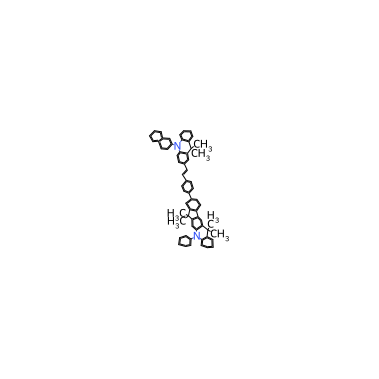 CC1(C)c2cc(-c3ccc(/C=C/c4ccc5c(c4)C(C)(C)c4ccccc4N5c4ccc5ccccc5c4)cc3)ccc2-c2cc3c(cc21)N(c1ccccc1)c1ccccc1C3(C)C